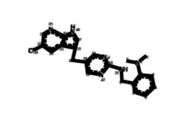 CN(C)c1ccccc1CNc1ncc(Cc2c[nH]c3ncc(Cl)cc23)cn1